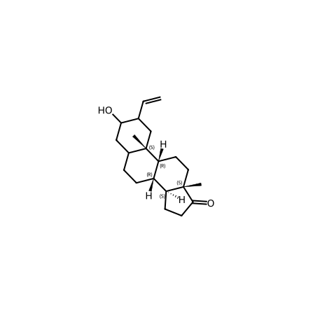 C=CC1C[C@@]2(C)C(CC[C@@H]3[C@H]2CC[C@]2(C)C(=O)CC[C@@H]32)CC1O